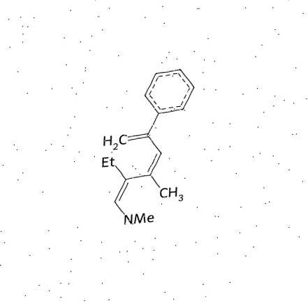 C=C(/C=C(C)\C(=C/NC)CC)c1ccccc1